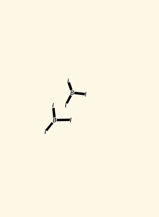 IB(I)I.IB(I)I